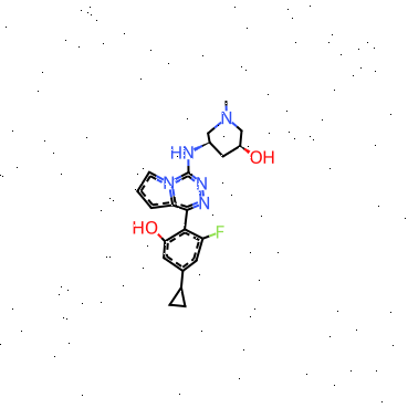 CN1C[C@@H](O)C[C@@H](Nc2nnc(-c3c(O)cc(C4CC4)cc3F)c3cccn23)C1